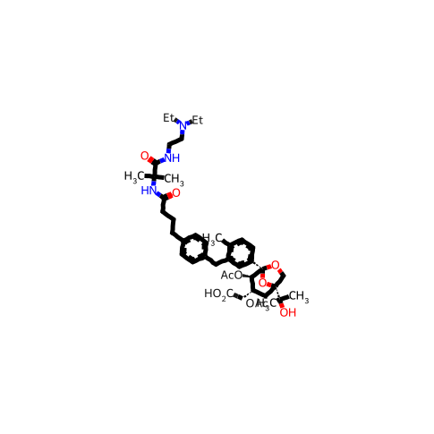 CCN(CC)CCNC(=O)C(C)(C)NC(=O)CCCc1ccc(Cc2cc([C@]34OC[C@](C(C)(C)O)(O3)[C@@H](OC(C)=O)[C@H](CC(=O)O)[C@H]4OC(C)=O)ccc2C)cc1